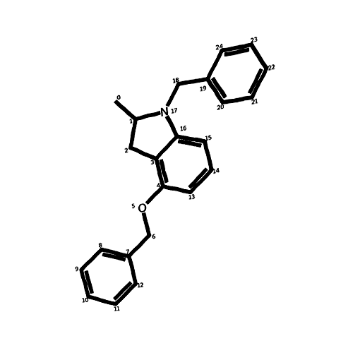 CC1Cc2c(OCc3ccccc3)cccc2N1Cc1ccccc1